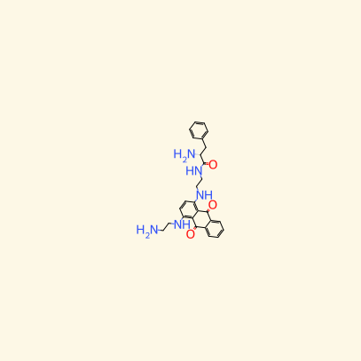 NCCNc1ccc(NCCNC(=O)[C@H](N)Cc2ccccc2)c2c1C(=O)c1ccccc1C2=O